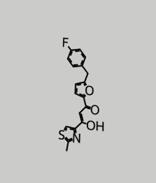 Cc1nc(C(O)=CC(=O)c2ccc(Cc3ccc(F)cc3)o2)cs1